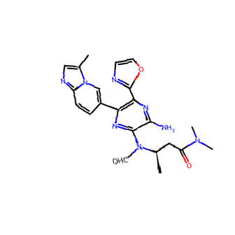 Cc1cnc2ccc(-c3nc(N(C=O)[C@H](C)CC(=O)N(C)C)c(N)nc3-c3ncco3)cn12